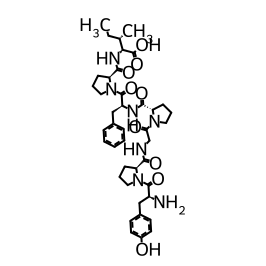 CC[C@H](C)[C@H](NC(=O)[C@@H]1CCCN1C(=O)[C@H](Cc1ccccc1)NC(=O)[C@@H]1CCCN1C(=O)CNC(=O)[C@@H]1CCCN1C(=O)[C@@H](N)Cc1ccc(O)cc1)C(=O)O